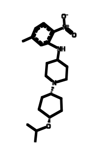 Cc1ccc([N+](=O)[O-])c(NC2CCN([C@H]3CC[C@@H](OC(C)C)CC3)CC2)c1